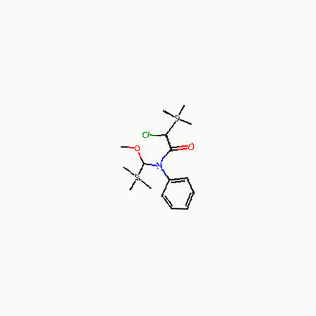 COC(N(C(=O)C(Cl)[Si](C)(C)C)c1ccccc1)[Si](C)(C)C